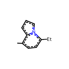 CCc1ccc(C)c2cccn12